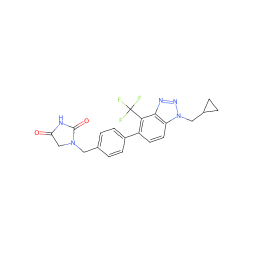 O=C1CN(Cc2ccc(-c3ccc4c(nnn4CC4CC4)c3C(F)(F)F)cc2)C(=O)N1